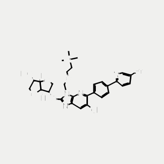 C[Si](C)(C)CCOCn1c(O[C@@H]2CO[C@H]3[C@@H]2OC[C@H]3O)nc2cc(Cl)c(-c3ccc(-c4ccc(Br)cn4)cc3)nc21